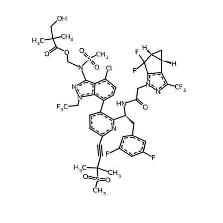 CC(C)(CO)C(=O)OCN(c1nn(CC(F)(F)F)c2c(-c3ccc(C#CC(C)(C)S(C)(=O)=O)nc3[C@H](Cc3cc(F)cc(F)c3)NC(=O)Cn3nc(C(F)(F)F)c4c3C(F)(F)[C@@H]3C[C@H]43)ccc(Cl)c12)S(C)(=O)=O